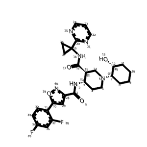 O=C(N[C@H]1CCN([C@H]2CCCC[C@H]2O)C[C@@H]1C(=O)NC1(c2ncccn2)CC1)c1cc(-c2ccc(F)cc2F)on1